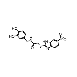 O=C(CSc1nc2ccc([N+](=O)[O-])cc2[nH]1)NCc1ccc(O)c(O)c1